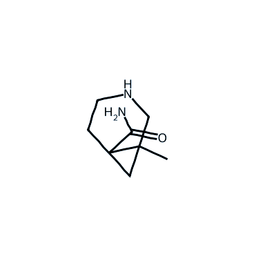 CC12CNCCC1(C(N)=O)C2